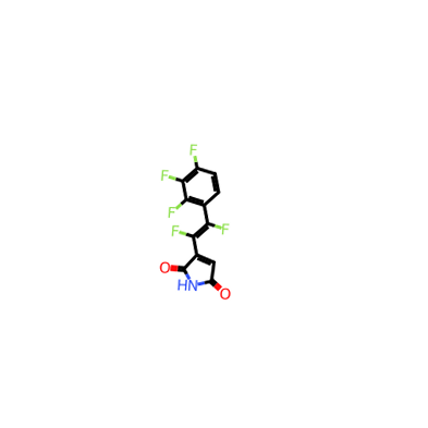 O=C1C=C(C(F)=C(F)c2ccc(F)c(F)c2F)C(=O)N1